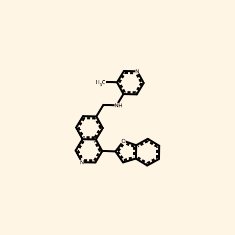 Cc1cnccc1NCc1ccc2cncc(-c3cc4ccccc4o3)c2c1